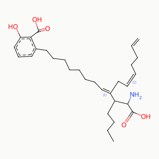 C=CCC/C=C\C/C(=C\CCCCCCCc1cccc(O)c1C(=O)O)C(CCCC)C(N)C(=O)O